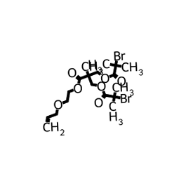 C=CCOCCOC(=O)C(C)(COC(=O)C(C)(C)Br)COC(=O)C(C)(C)Br